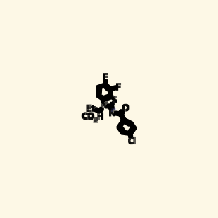 CCC(C(=O)O)n1/c(=N/C(=O)c2ccc(Cl)cc2)sc2c(F)c(F)ccc21